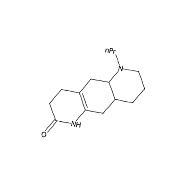 CCCN1CCCC2CC3=C(CCC(=O)N3)CC21